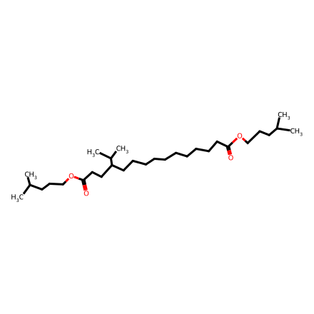 CC(C)CCCOC(=O)CCCCCCCCCCC(CCC(=O)OCCCC(C)C)C(C)C